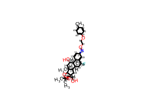 Cc1ccc(OCCO/N=C2\C=C[C@@]3(C)C(=C2)[C@@H](F)C[C@@H]2[C@@H]3[C@@H](O)C[C@@]3(C)[C@H]2C[C@H]2OC(C)(C)O[C@]23C(=O)CO)cc1